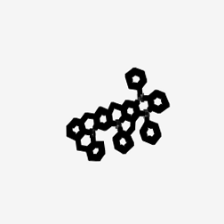 c1ccc(B2c3ccccc3N(c3ccccc3)c3cc4c5c(c32)Cc2ccccc2B5c2cc3c(cc2C4)Cc2cccc4c2B3c2ccccc2C4)cc1